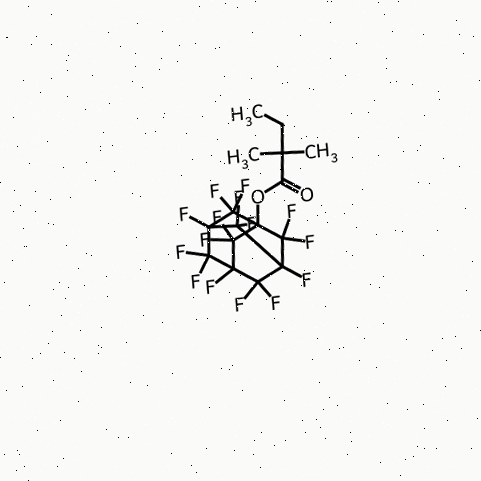 CCC(C)(C)C(=O)OC12C(F)(F)C3(F)C(F)(F)C(F)(C(F)(F)C(F)(C3(F)F)C1(F)F)C2(F)F